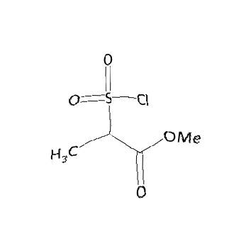 COC(=O)C(C)S(=O)(=O)Cl